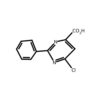 O=C(O)c1cc(Cl)nc(-c2ccccc2)n1